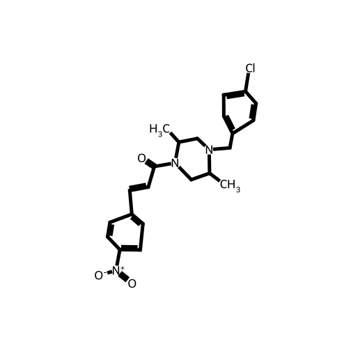 CC1CN(C(=O)C=Cc2ccc([N+](=O)[O-])cc2)C(C)CN1Cc1ccc(Cl)cc1